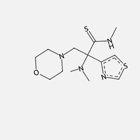 CNC(=S)C(CN1CCOCC1)(c1cscn1)N(C)C